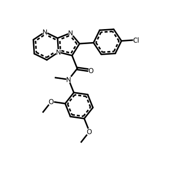 COc1ccc(N(C)C(=O)c2c(-c3ccc(Cl)cc3)nc3ncccn23)c(OC)c1